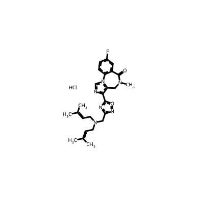 CC(C)=CCN(CC=C(C)C)Cc1noc(-c2ncn3c2CN(C)C(=O)c2cc(F)ccc2-3)n1.Cl